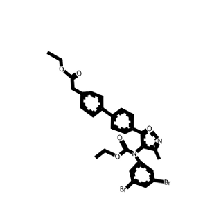 CCOC(=O)Cc1ccc(-c2ccc(-c3onc(C)c3N(C(=O)OCC)c3cc(Br)cc(Br)c3)cc2)cc1